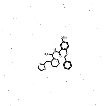 COc1ccc(OCc2ccccc2)c(C(=O)NC(C)C2CCCCN2CC2OCCO2)c1